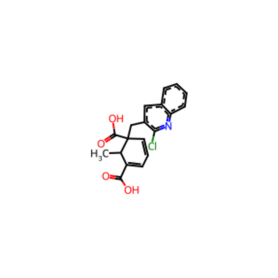 CC1C(C(=O)O)=CC=CC1(Cc1cc2ccccc2nc1Cl)C(=O)O